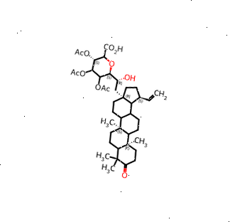 C=C[C@@H]1CC[C@]2(C[C@@H](O)[C@@H]3OC(C(=O)O)[C@@H](OC(C)=O)C(OC(C)=O)C3OC(C)=O)CCC3C(CCC4[C@@]3(C)CCC3C(C)(C)C(=O)CC[C@@]34C)C12